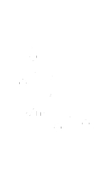 O=C([O-])CCCC(=O)[O-].[Zn+2]